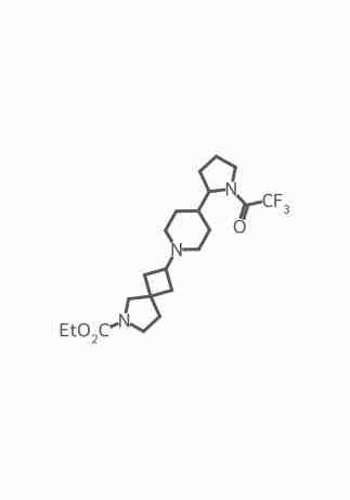 CCOC(=O)N1CCC2(CC(N3CCC(C4CCCN4C(=O)C(F)(F)F)CC3)C2)C1